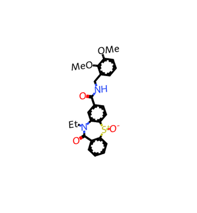 CCN1C(=O)c2ccccc2[S+]([O-])c2ccc(C(=O)NCc3cccc(OC)c3OC)cc21